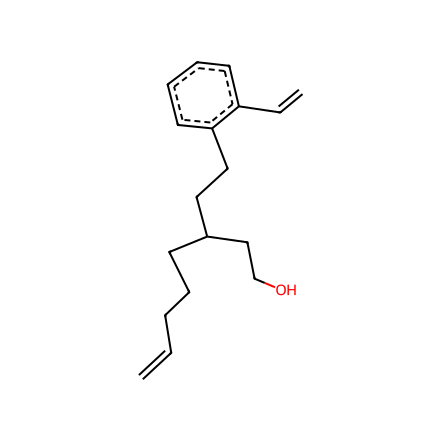 C=CCCCC(CCO)CCc1ccccc1C=C